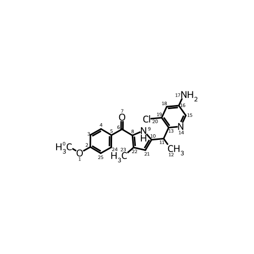 COc1ccc(C(=O)c2[nH]c(C(C)c3ncc(N)cc3Cl)cc2C)cc1